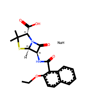 CCOc1ccc2ccccc2c1C(=O)N[C@@H]1C(=O)N2[C@@H]1SC(C)(C)[C@@H]2C(=O)O.[NaH]